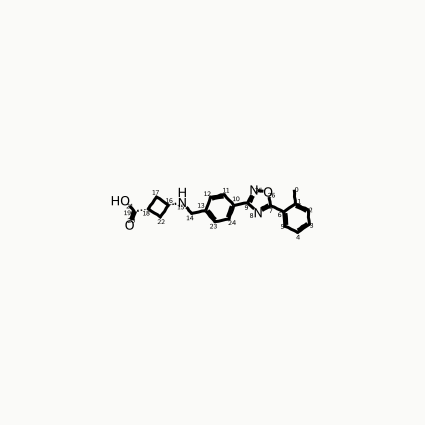 Cc1ccccc1-c1nc(-c2ccc(CN[C@H]3C[C@@H](C(=O)O)C3)cc2)no1